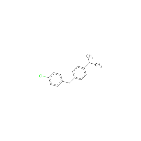 CC(C)c1ccc(Cc2ccc(Cl)cc2)cc1